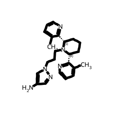 Cc1cccnc1[C@H]1CCC[C@@H](c2ncccc2C)N1CCCn1cc(N)cn1